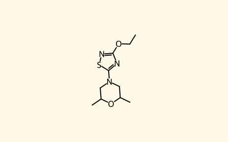 CCOc1nsc(N2CC(C)OC(C)C2)n1